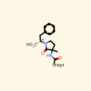 CCCCCCCC(=O)NC1(C)CCN([C@@H](Cc2ccccc2)C(=O)O)C1=O